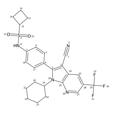 N#Cc1c(-c2ccc(NS(=O)(=O)C3CCC3)cc2)n(C2CCCCC2)c2ncc(C(F)(F)F)cc12